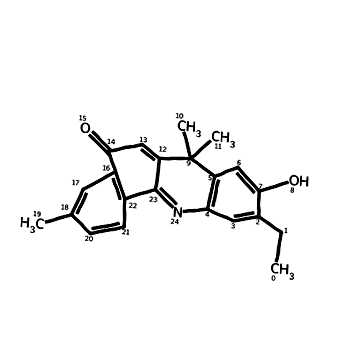 CCc1cc2c(cc1O)C(C)(C)C1=CC(=O)c3cc(C)ccc3C1=N2